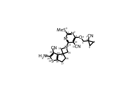 CSc1nc(OCC2(C#N)CC2)c(C#N)c(N2CC3(CCc4sc(N)c(C#N)c43)C2)n1